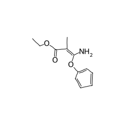 CCOC(=O)C(C)=C(N)Oc1ccccc1